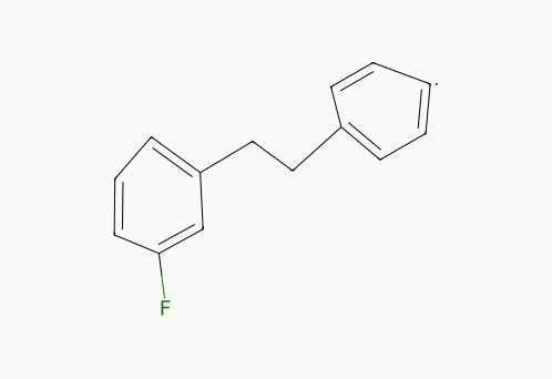 Fc1cccc(CCc2cc[c]cc2)c1